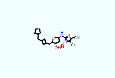 N#Cc1sc(N[C@@H]2CO[C@H](CC3CC(CC4CCCC4)C3)[C@H](O)[C@@H]2O)nc1Cl